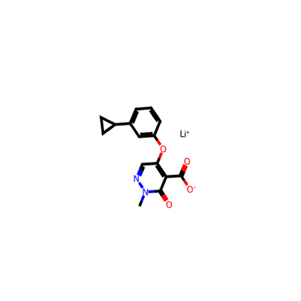 Cn1ncc(Oc2cccc(C3CC3)c2)c(C(=O)[O-])c1=O.[Li+]